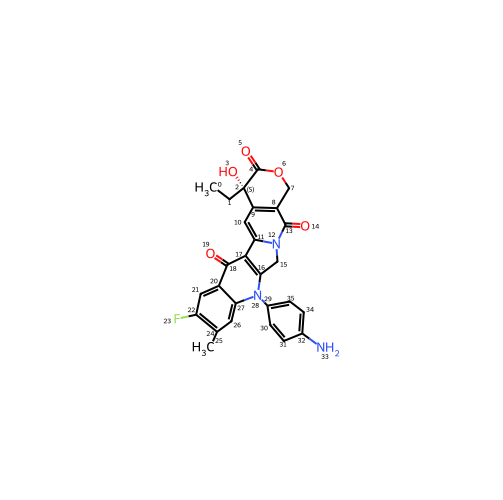 CC[C@@]1(O)C(=O)OCc2c1cc1n(c2=O)Cc2c-1c(=O)c1cc(F)c(C)cc1n2-c1ccc(N)cc1